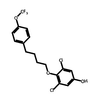 Oc1cc(Cl)c(OCCCCc2ccc(OC(F)(F)F)cc2)c(Cl)c1